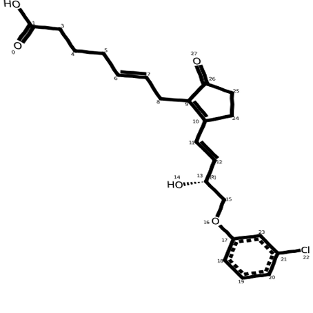 O=C(O)CCCC=CCC1=C(C=C[C@@H](O)COc2cccc(Cl)c2)CCC1=O